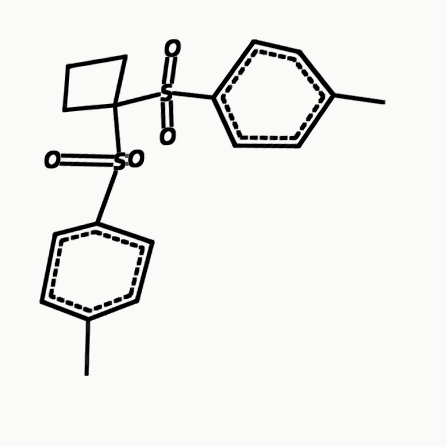 Cc1ccc(S(=O)(=O)C2(S(=O)(=O)c3ccc(C)cc3)CCC2)cc1